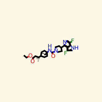 CCOC(=O)C[C@@H](C)C12CCC(NC(=O)N3CCC(c4ncc(F)c5[nH]cc(F)c45)CC3)(CC1)CC2